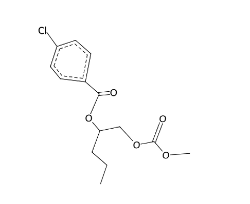 CCCC(COC(=O)OC)OC(=O)c1ccc(Cl)cc1